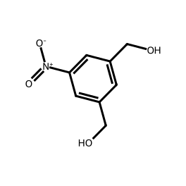 O=[N+]([O-])c1cc(CO)cc(CO)c1